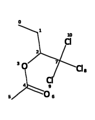 CCC(OC(C)=O)C(Cl)(Cl)Cl